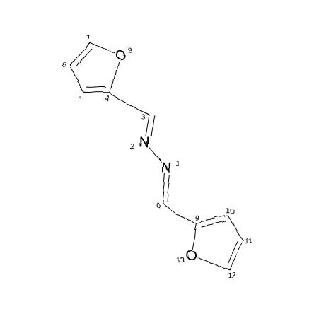 C(=NN=Cc1ccco1)c1ccco1